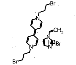 Br.Br.BrCCCN1C=CC(=C2C=CN(CCCBr)C=C2)C=C1.C=Cn1ccnc1